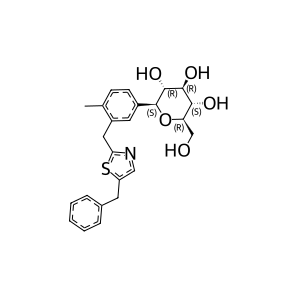 Cc1ccc([C@@H]2O[C@H](CO)[C@@H](O)[C@H](O)[C@H]2O)cc1Cc1ncc(Cc2ccccc2)s1